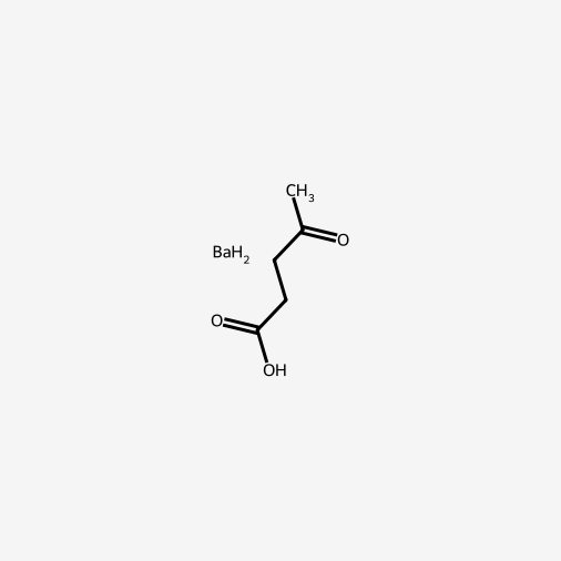 CC(=O)CCC(=O)O.[BaH2]